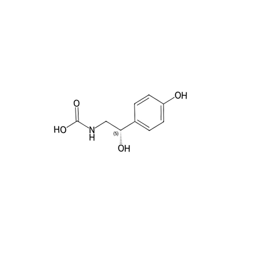 O=C(O)NC[C@@H](O)c1ccc(O)cc1